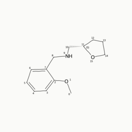 COc1ccccc1CNC[C@@H]1CCCO1